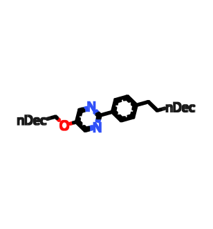 CCCCCCCCCCCCc1ccc(-c2ncc(OCCCCCCCCCCC)cn2)cc1